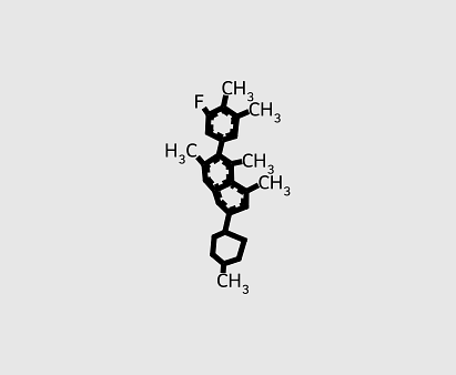 Cc1cc(-c2c(C)cc3cc(C4CCC(C)CC4)cc(C)c3c2C)cc(F)c1C